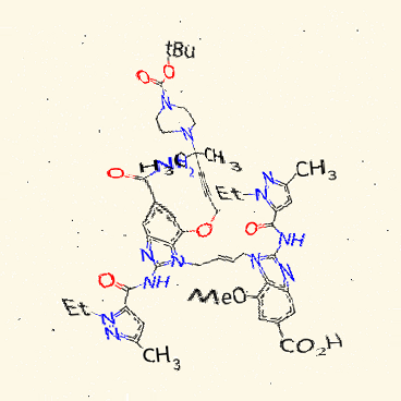 CCn1nc(C)cc1C(=O)Nc1nc2cc(C(=O)O)cc(OC)c2n1C/C=C/Cn1c(NC(=O)c2cc(C)nn2CC)nc2cc(C(N)=O)cc(OCC#CC(C)(C)N3CCN(C(=O)OC(C)(C)C)CC3)c21